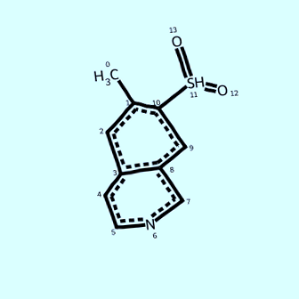 Cc1cc2ccncc2cc1[SH](=O)=O